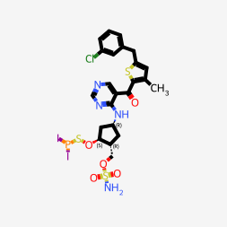 Cc1cc(Cc2cccc(Cl)c2)sc1C(=O)c1cncnc1N[C@@H]1C[C@H](COS(N)(=O)=O)[C@@H](OSP(I)I)C1